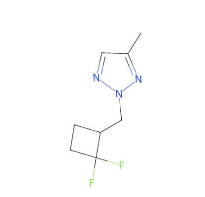 Cc1cnn(CC2CCC2(F)F)n1